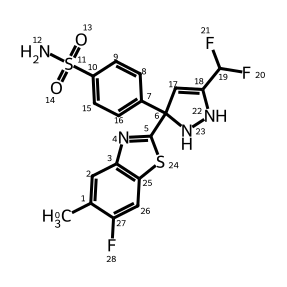 Cc1cc2nc(C3(c4ccc(S(N)(=O)=O)cc4)C=C(C(F)F)NN3)sc2cc1F